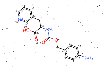 Nc1ccc(COC(=O)NC(Cc2cccnc2)C(=O)O)cc1